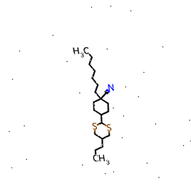 CCCCCCCC1(C#N)CCC(C2SCC(CCC)CS2)CC1